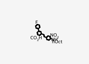 CCCCCCCCNc1ccc(C=Cc2cc(-c3ccc(F)cc3)ccc2C(=O)O)cc1[N+](=O)[O-]